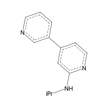 CC(C)Nc1cc(-c2cccnc2)ccn1